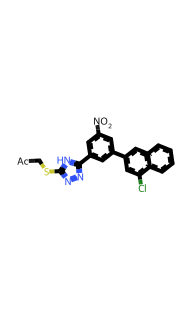 CC(=O)CSc1nnc(-c2cc(-c3cc(Cl)c4ccccc4c3)cc([N+](=O)[O-])c2)[nH]1